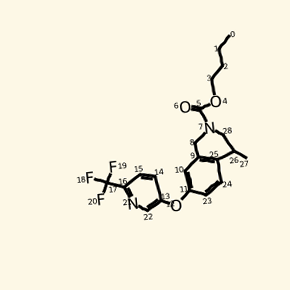 CCCCOC(=O)N1Cc2cc(Oc3ccc(C(F)(F)F)nc3)ccc2C(C)C1